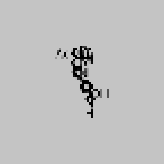 CCC[C@H](C(C)=O)[C@H](Cc1ccc(-c2ccc(C3(O)CNC3)cc2)nc1)c1nnn[nH]1